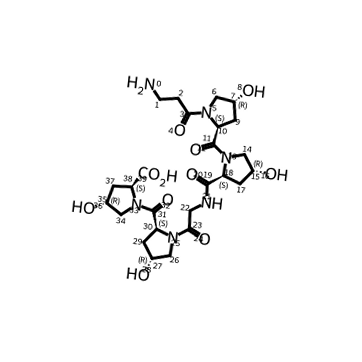 NCCC(=O)N1C[C@H](O)C[C@H]1C(=O)N1C[C@H](O)C[C@H]1C(=O)NCC(=O)N1C[C@H](O)C[C@H]1C(=O)N1C[C@H](O)C[C@H]1C(=O)O